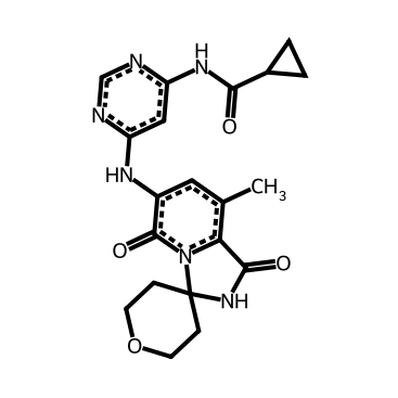 Cc1cc(Nc2cc(NC(=O)C3CC3)ncn2)c(=O)n2c1C(=O)NC21CCOCC1